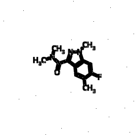 Cc1cc2c(C(=O)N(C)C)nn(C)c2cc1F